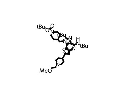 CCCCc1nc2c(NC(C)(C)C)nc3cc(C4CCN(CCOC)CC4)sc3c2n1CC1CCN(C(=O)OC(C)(C)C)CC1